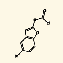 O=C(Cl)Oc1cc2cc(Br)ccc2o1